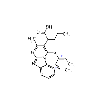 C/C=C\C(=C/C)Sc1c(C(CCC)C(=O)O)c(C)nc2nc3ccccc3n12